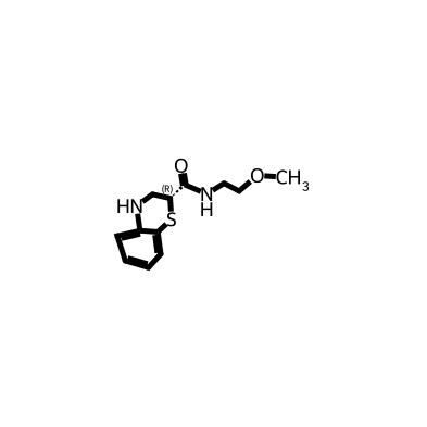 COCCNC(=O)[C@H]1CNc2ccccc2S1